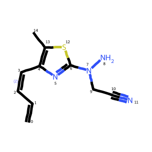 C=C/C=C\c1nc(N(N)CC#N)sc1C